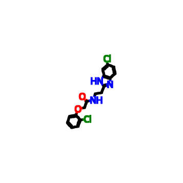 O=C(COc1ccccc1Cl)NCCc1nc2ccc(Cl)cc2[nH]1